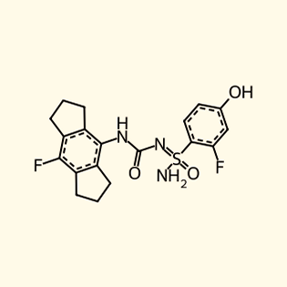 NS(=O)(=NC(=O)Nc1c2c(c(F)c3c1CCC3)CCC2)c1ccc(O)cc1F